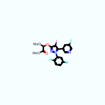 COC(=O)C(OC)Oc1nn(-c2cc(F)ccc2F)c(-c2cncc(F)c2)c1I